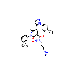 Cc1c(-c2ccnn2-c2ccc(C#N)cc2)cc(C(=O)NCCCCN(C)C)c(=O)n1-c1cccc(C(F)(F)F)c1